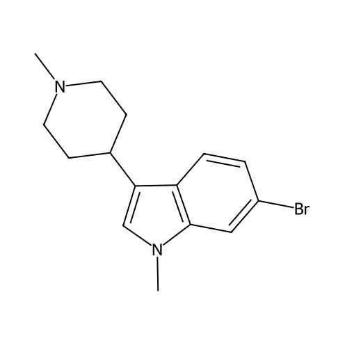 CN1CCC(c2cn(C)c3cc(Br)ccc23)CC1